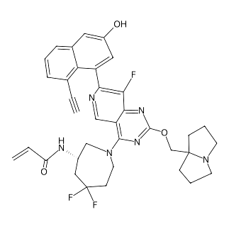 C#Cc1cccc2cc(O)cc(-c3ncc4c(N5CCC(F)(F)C[C@H](NC(=O)C=C)C5)nc(OCC56CCCN5CCC6)nc4c3F)c12